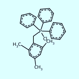 Cc1cc(C)c(CP(Cl)(c2ccccc2)(c2ccccc2)c2ccccc2)c(C)c1